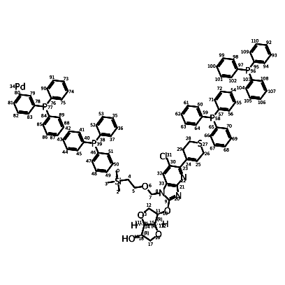 C[Si](C)(C)CCOCn1c(O[C@@H]2CO[C@H]3[C@@H]2OC[C@H]3O)nc2nc(C3=CCSCC3)c(Cl)cc21.[Pd].c1ccc(P(c2ccccc2)c2ccccc2)cc1.c1ccc(P(c2ccccc2)c2ccccc2)cc1.c1ccc(P(c2ccccc2)c2ccccc2)cc1.c1ccc(P(c2ccccc2)c2ccccc2)cc1